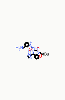 CC(C)(C)C(=O)CN1C(=O)C(NC(=O)Nc2cccc(CN)c2)N=C(c2ncc[nH]2)c2ccccc21